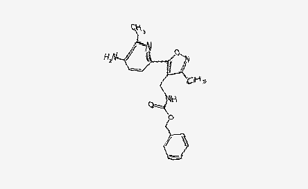 Cc1nc(-c2onc(C)c2CNC(=O)OCc2ccccc2)ccc1N